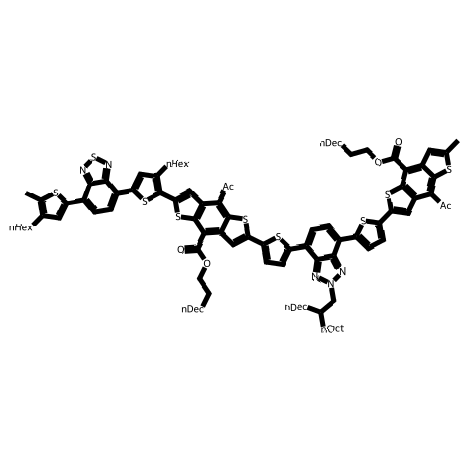 CCCCCCCCCCCCOC(=O)c1c2cc(C)sc2c(C(C)=O)c2cc(-c3ccc(-c4ccc(-c5ccc(-c6cc7c(C(=O)OCCCCCCCCCCCC)c8sc(-c9sc(-c%10ccc(-c%11cc(CCCCCC)c(C)s%11)c%11nsnc%10%11)cc9CCCCCC)cc8c(C(C)=O)c7s6)s5)c5nn(CC(CCCCCCCC)CCCCCCCCCC)nc45)s3)sc12